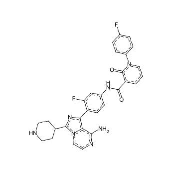 Nc1nccn2c(C3CCNCC3)nc(-c3ccc(NC(=O)c4cccn(-c5ccc(F)cc5)c4=O)cc3F)c12